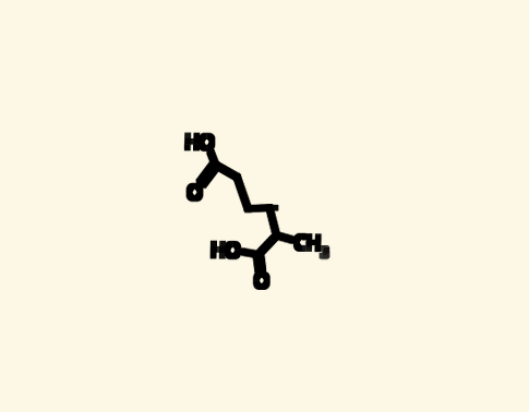 CC([CH]CCC(=O)O)C(=O)O